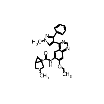 CCOc1cc2ncnc(-c3cn(C)nc3-c3ccccc3)c2cc1NC(=O)[C@]12CC1CN(C)C2